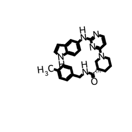 Cc1ccc(CNC(=O)[C@H]2CCCN(c3ccnc(Nc4ccc5[nH]ccc5c4)n3)C2)cc1